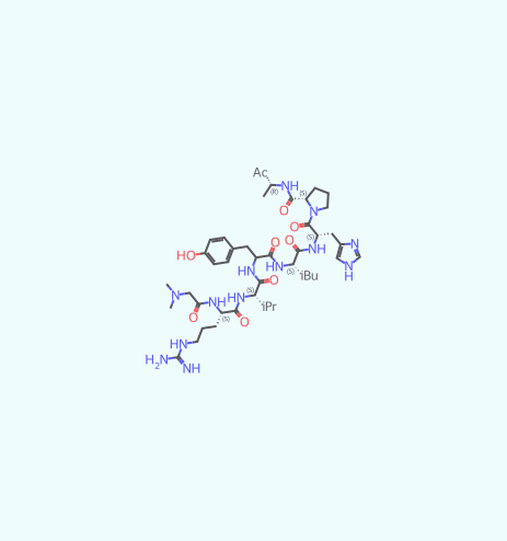 CCC(C)[C@H](NC(=O)C(Cc1ccc(O)cc1)NC(=O)[C@@H](NC(=O)[C@H](CCCNC(=N)N)NC(=O)CN(C)C)C(C)C)C(=O)N[C@@H](Cc1c[nH]cn1)C(=O)N1CCC[C@H]1C(=O)N[C@H](C)C(C)=O